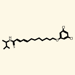 CC(C)C(C)NC(=S)C=CC=CCCCCCCCOc1cc(Cl)cc(Cl)c1